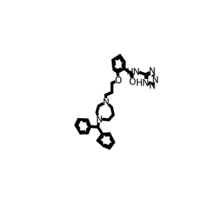 O=C(Nc1nnn[nH]1)c1ccccc1OCCCN1CCCN(C(c2ccccc2)c2ccccc2)CC1